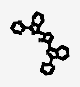 c1cnc(-c2nc(-c3ccc(-c4nc(-c5ncccn5)n5ccccc45)[nH]3)c3ccccn23)nc1